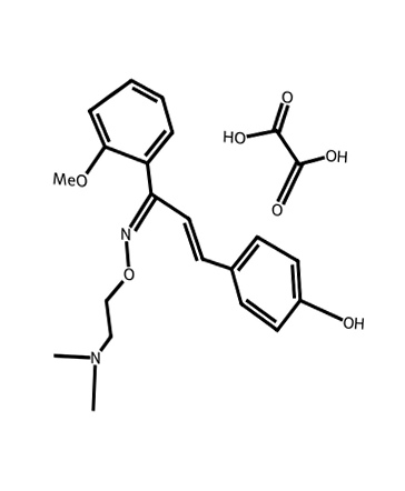 COc1ccccc1C(C=Cc1ccc(O)cc1)=NOCCN(C)C.O=C(O)C(=O)O